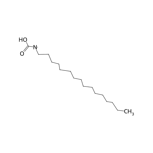 CCCCCCCCCCCCCCCC[N]C(=O)O